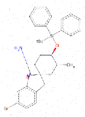 C[C@@H]1C[C@]2(CC[C@H]1O[Si](c1ccccc1)(c1ccccc1)C(C)(C)C)Cc1ccc(Br)cc1C21COC(N)=N1